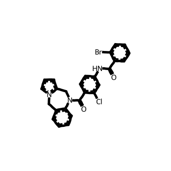 O=C(Nc1ccc(C(=O)N2Cc3cccn3Cc3ccccc32)c(Cl)c1)c1ccccc1Br